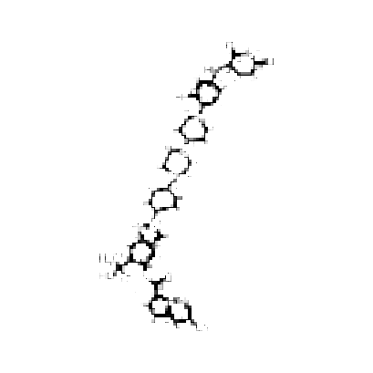 CC(C)(O)c1cc2nn(C3CCC(N4CCN(C5CCN(c6ccc(NC7CCC(=O)NC7=O)cc6F)CC5)CC4)CC3)cc2cc1NC(=O)c1ccc2cc(C#N)cnn12